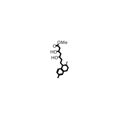 COC(=O)CC(O)C[C@@H](O)CCC1c2ccc(C)cc2CC[C@@H]1C